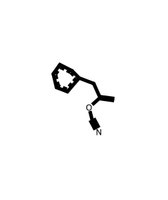 C=C(Cc1ccccc1)OC#N